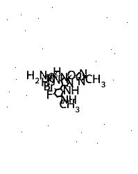 CNc1cc(F)c(Br)c2c1[nH]c1nc(Oc3cnc(C)nc3)nc(N3C[C@H]4C[C@@H]3C[C@H]4N)c12